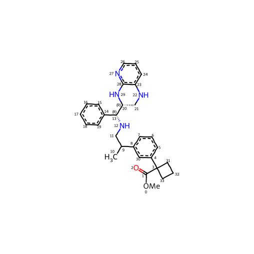 COC(=O)C1(c2cccc(C(C)CN[C@H](c3ccccc3)[C@H]3CNc4cccnc4N3)c2)CCC1